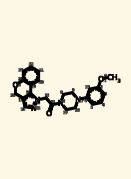 COc1cccc(N2CCN(C(=O)Cn3ncc4c3-c3ccccc3OC4)CC2)c1